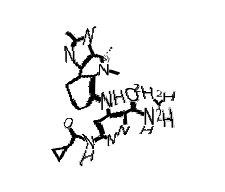 [2H]C([2H])([2H])NC(=O)c1nnc(NC(=O)C2CC2)cc1Nc1cccc2c1N(C)[C@@H](C)c1c-2nc(C)n1C